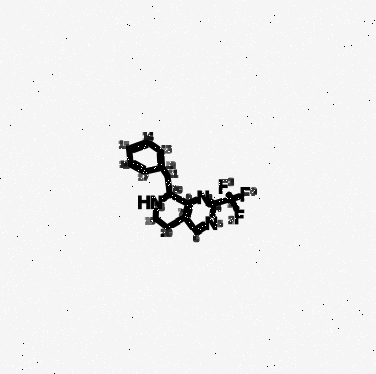 FC(F)(F)c1ncc2c(n1)C(Cc1ccccc1)NCC2